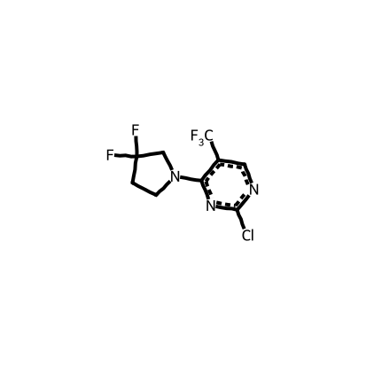 FC1(F)CCN(c2nc(Cl)ncc2C(F)(F)F)C1